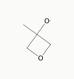 CC1([O])COC1